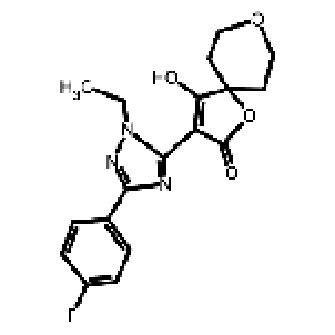 CCn1nc(-c2ccc(F)cc2)nc1C1=C(O)C2(CCOCC2)OC1=O